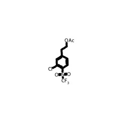 CC(=O)OCCc1ccc(S(=O)(=O)C(F)(F)F)c(Cl)c1